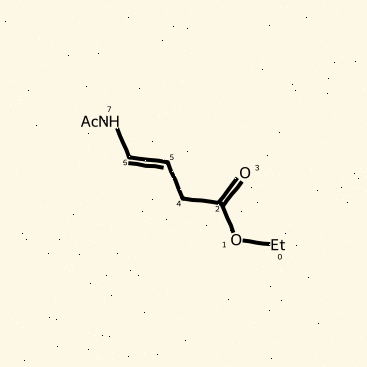 CCOC(=O)CC=CNC(C)=O